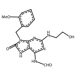 COc1ccccc1Cn1c(=O)[nH]c2c(N[C]=O)nc(NCCO)nc21